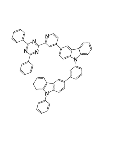 C1=Cc2c(n(-c3ccccc3)c3ccc(-c4cccc(-n5c6ccccc6c6cc(-c7ccnc(-c8nc(-c9ccccc9)nc(-c9ccccc9)n8)c7)ccc65)c4)cc23)CC1